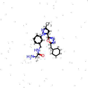 C[C@H](N)C(=O)NCc1cccc(-n2nc(C(F)(F)F)cc2-c2nnc(CC3CCCCC3)o2)c1